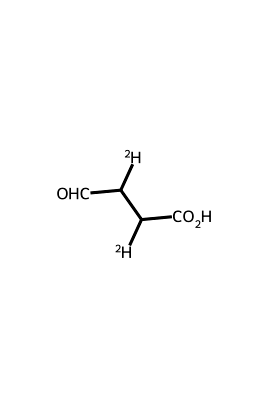 [2H]C(C=O)C([2H])C(=O)O